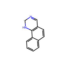 [C]1N=Cc2ccc3ccccc3c2N1